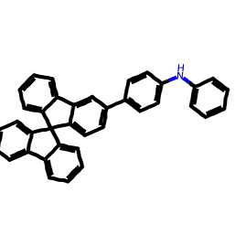 c1ccc(Nc2ccc(-c3ccc4c(c3)-c3ccccc3C43c4ccccc4-c4ccccc43)cc2)cc1